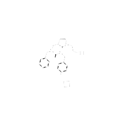 BCCN1CCC(CN(Cc2ccccc2)C(=O)NCc2ccc(OC3CCC3)cc2)C1